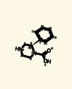 O=C(O)N1CCNC[C@@H]1c1ccccc1